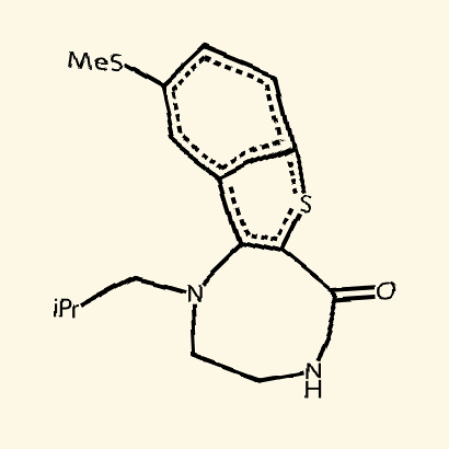 CSc1ccc2sc3c(c2c1)N(CC(C)C)CCNC3=O